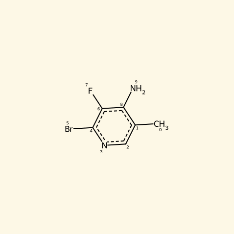 Cc1cnc(Br)c(F)c1N